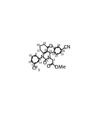 COC(=O)CN1C(=O)N(c2cccc(C(F)(F)F)c2)C2=C(C(=O)CCC2)C1c1ccc(C#N)cc1